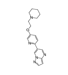 c1cc2ncc(-c3ccc(OCCN4CCCCC4)cn3)cn2n1